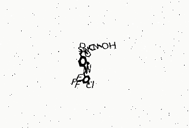 O=C1SC(=Cc2ccc3c(cnn3Cc3ccc(Cl)cc3C(F)(F)F)c2)C(=O)N1C1CCN(CCO)CC1